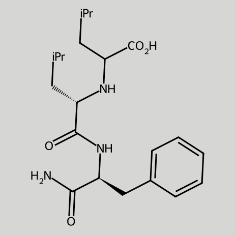 CC(C)CC(N[C@@H](CC(C)C)C(=O)N[C@@H](Cc1ccccc1)C(N)=O)C(=O)O